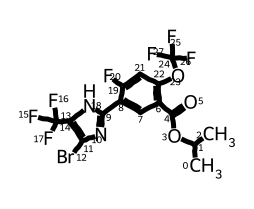 CC(C)OC(=O)c1cc(-c2nc(Br)c(C(F)(F)F)[nH]2)c(F)cc1OC(F)(F)F